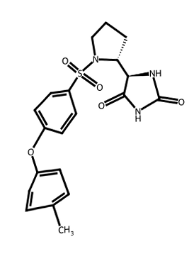 Cc1ccc(Oc2ccc(S(=O)(=O)N3CCC[C@@H]3[C@H]3NC(=O)NC3=O)cc2)cc1